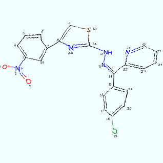 O=[N+]([O-])c1cccc(-c2csc(NN=C(c3ccc(Cl)cc3)c3ccccn3)n2)c1